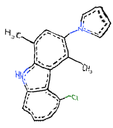 Cc1cc(-n2cccc2)c(C)c2c1[nH]c1cccc(Cl)c12